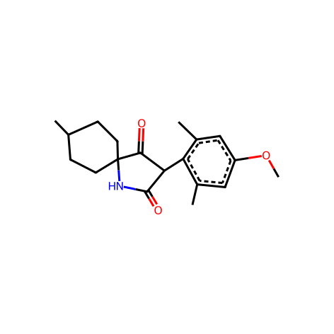 COc1cc(C)c(C2C(=O)NC3(CCC(C)CC3)C2=O)c(C)c1